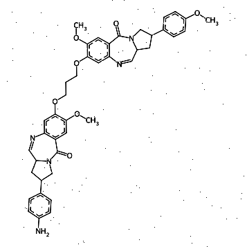 COc1ccc(C2CC3C=Nc4cc(OCCCOc5cc6c(cc5OC)C(=O)N5CC(c7ccc(N)cc7)CC5C=N6)c(OC)cc4C(=O)N3C2)cc1